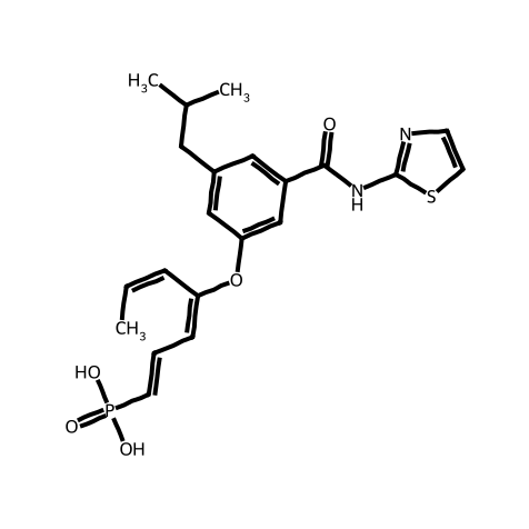 C\C=C/C(=C\C=C\P(=O)(O)O)Oc1cc(CC(C)C)cc(C(=O)Nc2nccs2)c1